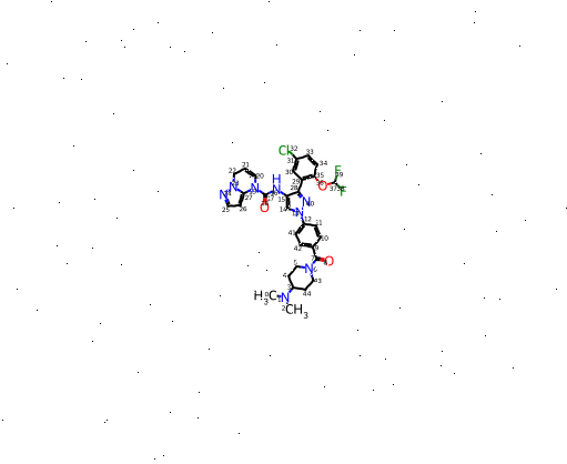 CN(C)C1CCN(C(=O)c2ccc(-n3cc(NC(=O)N4C=CCn5nccc54)c(-c4cc(Cl)ccc4OC(F)F)n3)cc2)CC1